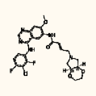 COc1cc2ncnc(Nc3ccc(F)c(Cl)c3F)c2cc1NC(=O)C=CCN1C[C@@H]2OCCO[C@@H]2C1